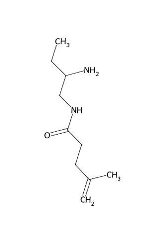 C=C(C)CCC(=O)NCC(N)CC